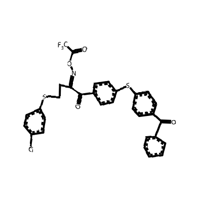 O=C(/C(CCSc1ccc(Cl)cc1)=N/OC(=O)C(F)(F)F)c1ccc(Sc2ccc(C(=O)c3ccccc3)cc2)cc1